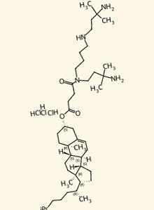 CC(C)CCC[C@@H](C)[C@H]1CC[C@H]2[C@@H]3CC=C4C[C@@H](OC(=O)CCC(=O)N(CCCCNCCC(C)(C)N)CCC(C)(C)N)CC[C@]4(C)[C@H]3CC[C@]12C.Cl.Cl.Cl